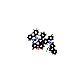 CC1(C)c2ccccc2-c2ccc(-n3c4ccccc4c4ccc(-c5ccc6oc7cccc(N(c8cccc(-c9ccccc9)c8)c8nc(-c9ccccc9)c9ccccc9n8)c7c6c5)cc43)cc21